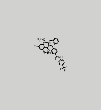 COC(=O)[C@@H](Cc1ccccn1)N(Cc1ccc(C(=O)Nc2ncc(C(F)(F)F)cn2)cc1)C(=O)c1ccc(Cl)cc1N=[N+]=[N-]